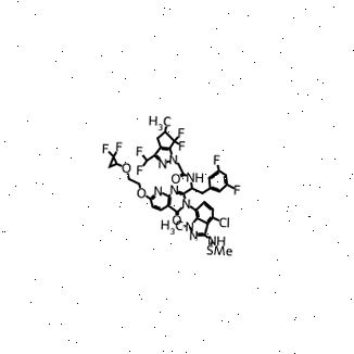 CSNc1nn(C)c2c(-n3c(C(Cc4cc(F)cc(F)c4)NC(=O)Cn4nc(C(F)F)c5c4C(F)(F)C(C)C5)nc4nc(OCCOC5CC5(F)F)ccc4c3=O)ccc(Cl)c12